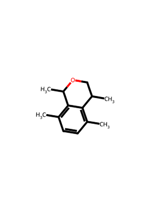 Cc1ccc(C)c2c1C(C)COC2C